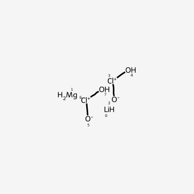 [LiH].[MgH2].[O-][Cl+]O.[O-][Cl+]O